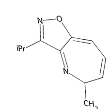 CC1C=CC=c2onc(C(C)C)c2=N1